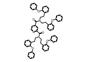 O=C(c1ccnc(C(=O)N(CCc2ccccc2Oc2ccccc2)CCc2ccccc2Oc2ccccc2)c1)N(CCc1ccccc1Oc1ccccc1)CCc1ccccc1Oc1ccccc1